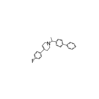 CC(c1ccc(-c2ccccc2)cc1)N1CC=C(c2ccc(F)cc2)CC1